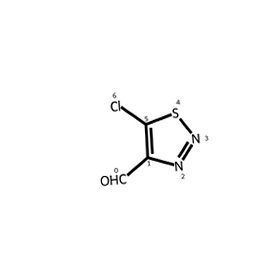 O=Cc1nnsc1Cl